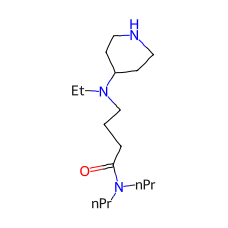 CCCN(CCC)C(=O)CCCN(CC)C1CCNCC1